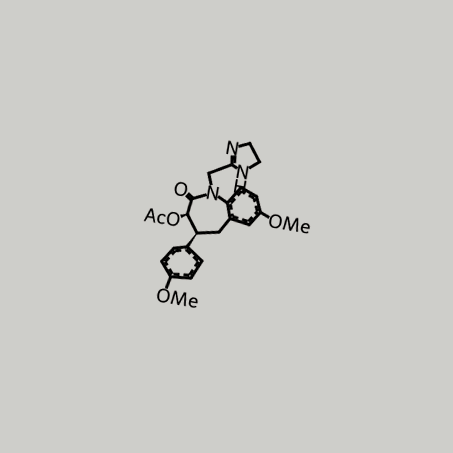 COc1ccc([C@@H]2Cc3cc(OC)ccc3N(CC3=NCCN3)C(=O)[C@@H]2OC(C)=O)cc1